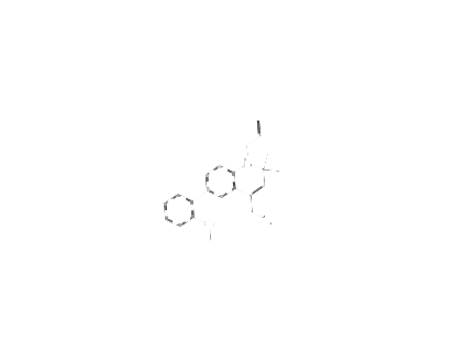 C=CCN1c2ccc(-c3ccccc3OC)cc2C(CN)=CC1(C)C